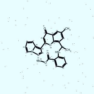 Cc1cc(C(C)Nc2ccccc2C(=O)OC(C)(C)C)c2oc(-c3cnn4ccccc34)cc(=O)c2c1